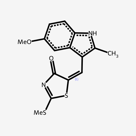 COc1ccc2[nH]c(C)c(/C=C3/SC(SC)=NC3=O)c2c1